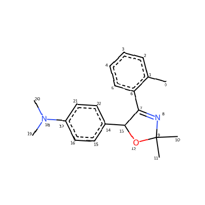 Cc1ccccc1C1=NC(C)(C)OC1c1ccc(N(C)C)cc1